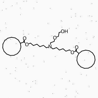 O=C(OCCCCCCN(CCCCCCOC(=O)C1CCCCCCCCCCCCCC1)CCOCCO)C1CCCCCCCCCCCCCC1